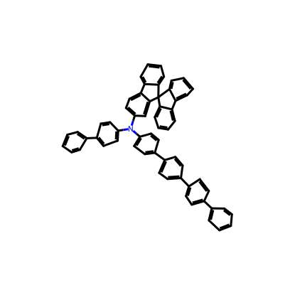 c1ccc(-c2ccc(-c3ccc(-c4ccc(N(c5ccc(-c6ccccc6)cc5)c5ccc6c(c5)C5(c7ccccc7-c7ccccc75)c5ccccc5-6)cc4)cc3)cc2)cc1